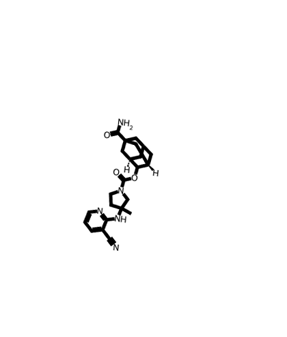 CC1(Nc2ncccc2C#N)CCN(C(=O)OC2[C@@H]3CC4C[C@H]2CC(C(N)=O)(C4)C3)C1